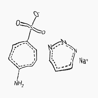 Nc1ccc(S(=O)(=O)[O-])cc1.[Na+].c1cnnnc1